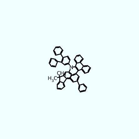 CC1(C)c2ccccc2-c2ccc(N(c3ccc(-c4ccccc4)c(-c4ccccc4)c3)c3c(-c4cccc(-c5ccccc5)c4)c4ccccc4c4ccccc34)cc21